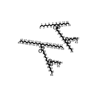 CCCCCCCCC(CCCCCCCC)OC(=O)CCCCCCCC(CCCCCCC)OC(=O)CCCN(C)C.CCCCCCCCCCCCC(CCCCCCCCCCCC)COC(=O)CCCCCCC(CCCCCCC)OC(=O)CCCN(C)C